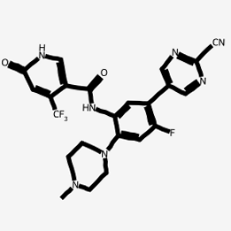 CN1CCN(c2cc(F)c(-c3cnc(C#N)nc3)cc2NC(=O)c2c[nH]c(=O)cc2C(F)(F)F)CC1